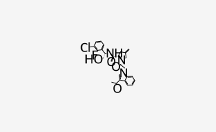 C=C1C[C@@H](C(=O)N[C@H](CO)c2cccc(Cl)c2F)N(C(=O)Cn2cc(C(C)=O)c3ccccc32)C1